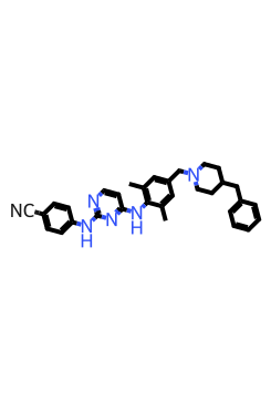 Cc1cc(CN2CCC(Cc3ccccc3)CC2)cc(C)c1Nc1ccnc(Nc2ccc(C#N)cc2)n1